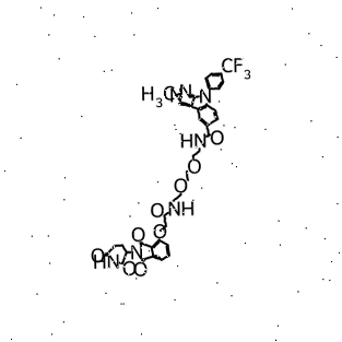 Cn1cc2c3cc(C(=O)NCCOCCOCCNC(=O)COc4cccc5c4C(=O)N(C4CCC(=O)NC4=O)C5=O)ccc3n(-c3ccc(C(F)(F)F)cc3)c2n1